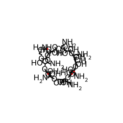 C=CCOC1C2OC(CCN)/C(O)=C(\O)C(O)OC(CCN)/C(O)=C(\O)C(O)OC(CCN)/C(O)=C(/O)C(O)OC3C(CN)OC(OC(CCN)C(O)C(O)C(O)OC4C(CN)OC(OC(C(CN)O2)C1O)C(O)C4O)C(O)C3O